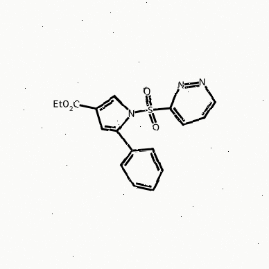 CCOC(=O)c1cc(-c2ccccc2)n(S(=O)(=O)c2cccnn2)c1